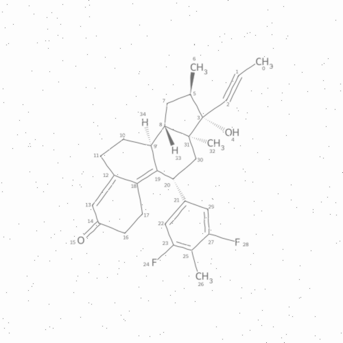 CC#C[C@]1(O)[C@H](C)C[C@H]2[C@@H]3CCC4=CC(=O)CCC4=C3[C@@H](c3cc(F)c(C)c(F)c3)C[C@@]21C